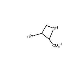 CCCC1CNC1C(=O)O